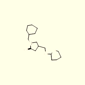 O=C1CC(COC2CCCCO2)CN1CC1CCCCC1